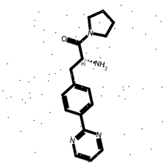 N[C@H](Cc1ccc(-c2ncccn2)cc1)C(=O)N1CCCC1